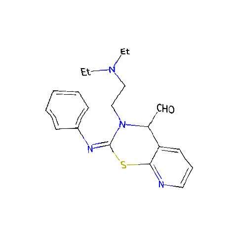 CCN(CC)CCN1C(=Nc2ccccc2)Sc2ncccc2C1C=O